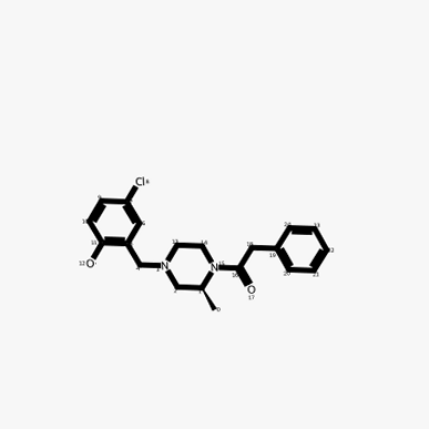 C[C@H]1CN(Cc2cc(Cl)ccc2[O])CCN1C(=O)Cc1ccccc1